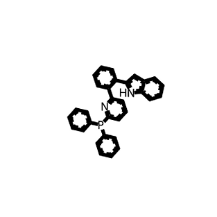 c1ccc(P(c2ccccc2)c2cccc(-c3ccccc3-c3cc4ccccc4[nH]3)n2)cc1